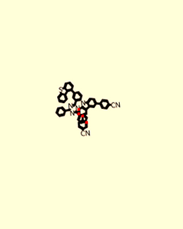 N#Cc1ccc(-c2ccc3c(c2)c2cc(-c4ccc(C#N)cc4)ccc2n3-c2ccc(-c3cccc4sc5ccccc5c34)cc2-c2nc(-c3ccccc3)nc(-c3ccccc3)n2)cc1